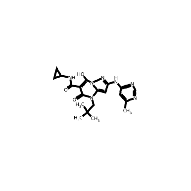 Cc1cc(Nc2cc3n(CC(C)(C)C)c(=O)c(C(=O)NC4CC4)c(O)n3n2)ncn1